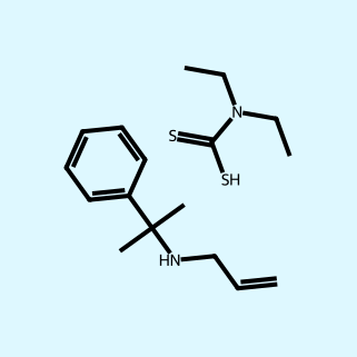 C=CCNC(C)(C)c1ccccc1.CCN(CC)C(=S)S